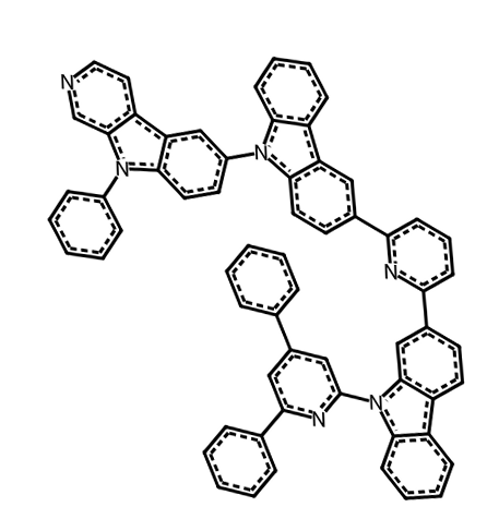 c1ccc(-c2cc(-c3ccccc3)nc(-n3c4ccccc4c4ccc(-c5cccc(-c6ccc7c(c6)c6ccccc6n7-c6ccc7c(c6)c6ccncc6n7-c6ccccc6)n5)cc43)c2)cc1